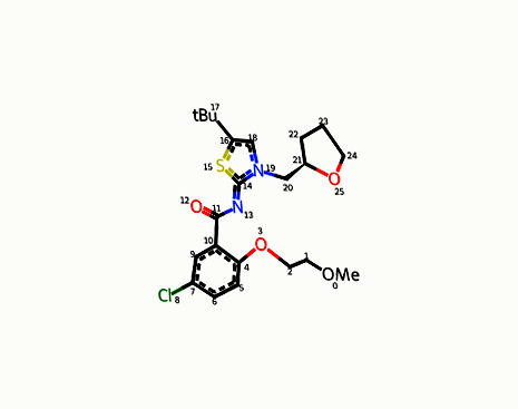 COCCOc1ccc(Cl)cc1C(=O)N=c1sc(C(C)(C)C)cn1C[C@H]1CCCO1